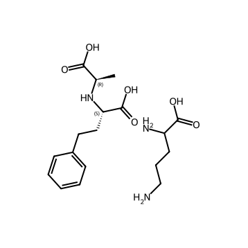 C[C@@H](N[C@@H](CCc1ccccc1)C(=O)O)C(=O)O.NCCCC(N)C(=O)O